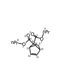 CCCOC(=O)C1(C(=O)OCCC)CC2C=CC1C2